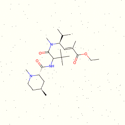 CCOC(=O)/C(C)=C/[C@H](C(C)C)N(C)C(=O)C(NC(=O)[C@@H]1C[C@@H](C)CCN1C)C(C)(C)C